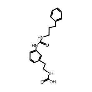 O=C(O)NCCc1cccc(NC(=O)NCCCc2ccccc2)c1